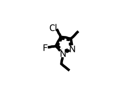 CCn1nc(C)c(Cl)c1F